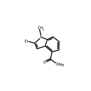 CCc1cc2c(C(=O)OC)cccc2n1C